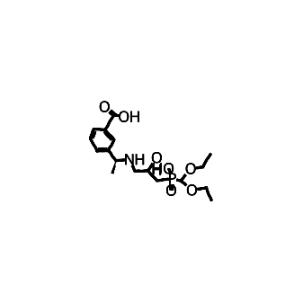 CCOC(OCC)P(=O)(O)CC(O)CN[C@@H](C)c1cccc(C(=O)O)c1